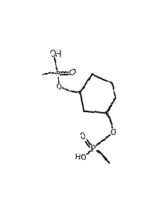 CP(=O)(O)OC1CCCC(OP(C)(=O)O)C1